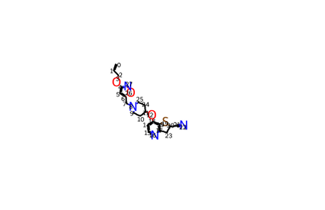 C=CCOc1cc(CN2CCC(Oc3ccnc4c3SC(C#N)C4)CC2)on1